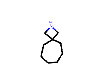 C1CCCC2(CC1)CNC2